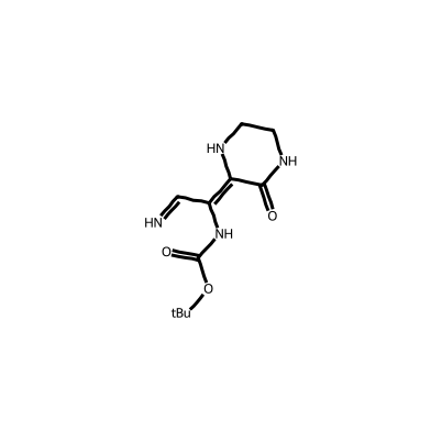 CC(C)(C)OC(=O)N/C(C=N)=C1/NCCNC1=O